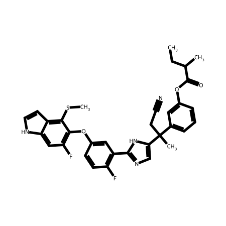 CCC(C)C(=O)Oc1cccc(C(C)(CC#N)c2cnc(-c3cc(Oc4c(F)cc5[nH]ccc5c4SC)ccc3F)[nH]2)c1